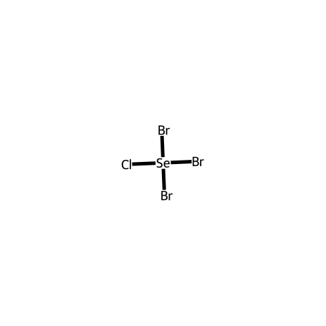 Cl[Se](Br)(Br)Br